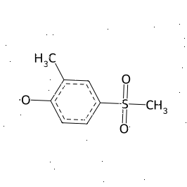 Cc1cc(S(C)(=O)=O)ccc1[O]